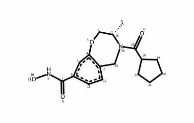 C[C@H]1COc2cc(C(=O)NO)ccc2CN1C(=O)C1CCCC1